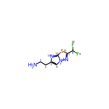 NCCc1cn2nc(C(F)F)sc2n1